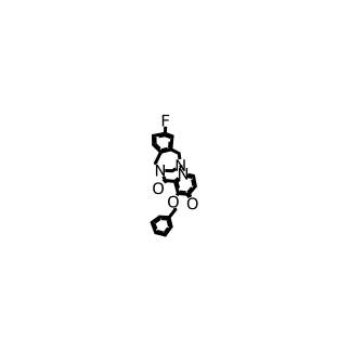 O=C1c2c(OCc3ccccc3)c(=O)ccn2N2Cc3cc(F)ccc3CN1C2